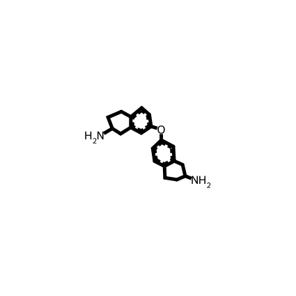 NC1CCc2ccc(Oc3ccc4c(c3)CC(N)CC4)cc2C1